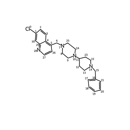 Clc1ccc2c(CN3CCN(C4CCN(Cc5ccccc5)CC4)CC3)ccnc2c1